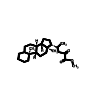 COC(=O)C(=O)CC(C)[C@H]1CC[C@H]2[C@@H]3CCC4CCCC[C@]4(C)[C@H]3CC[C@]12C